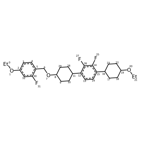 CCOc1ccc(COC2CCC(c3ccc(C4CCC(OCC)CC4)c(F)c3F)CC2)c(F)c1